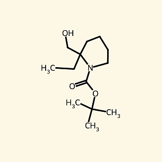 CCC1(CO)CCCCN1C(=O)OC(C)(C)C